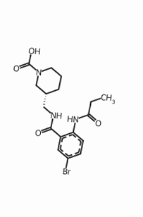 CCC(=O)Nc1ccc(Br)cc1C(=O)NC[C@H]1CCCN(C(=O)O)C1